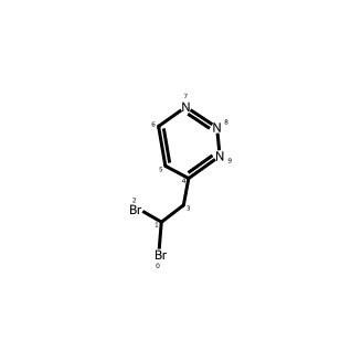 BrC(Br)Cc1ccnnn1